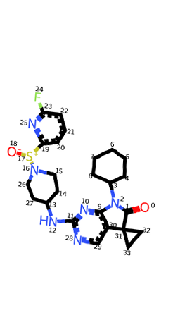 O=C1N(C2CCCCC2)c2nc(NC3CCN([S+]([O-])c4cccc(F)n4)CC3)ncc2C12CC2